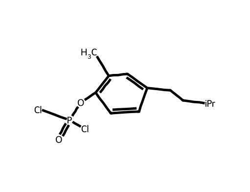 Cc1cc(CCC(C)C)ccc1OP(=O)(Cl)Cl